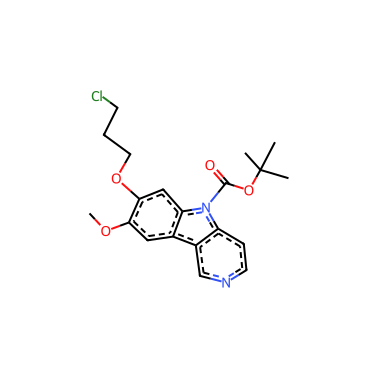 COc1cc2c3cnccc3n(C(=O)OC(C)(C)C)c2cc1OCCCCl